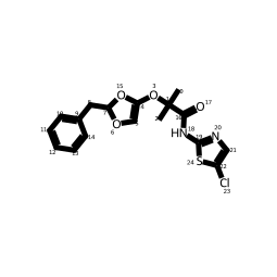 CC(C)(OC1=COC(Cc2ccccc2)O1)C(=O)Nc1ncc(Cl)s1